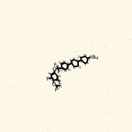 CCCCC1CCC(C2CCC(c3ccc(C(F)(F)Oc4cc(F)c(OC(F)F)c(F)c4)cc3)CC2)CC1